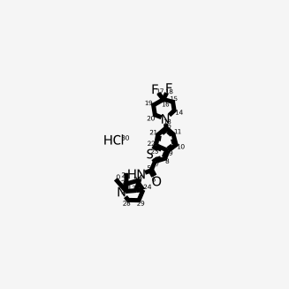 CC1(C)C(NC(=O)c2cc3ccc(N4CCC(F)(F)CC4)cc3s2)C2CCN1CC2.Cl